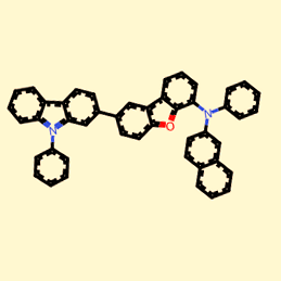 c1ccc(N(c2ccc3ccccc3c2)c2cccc3c2oc2ccc(-c4ccc5c6ccccc6n(-c6ccccc6)c5c4)cc23)cc1